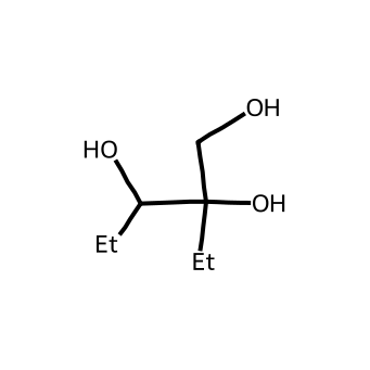 CCC(O)C(O)(CC)CO